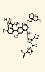 CN(C[C@@H]1CN(C(=O)n2cnc(C(F)F)n2)[C@@H]1C1CCC1)c1nc(OC[C@@]23CCCN2C[C@H](F)C3)nc2c(F)c(-c3ccc(F)c4sc(N)c(C#N)c34)c(Cl)cc12